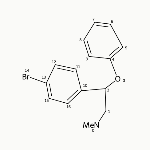 CNCC(Oc1ccccc1)c1ccc(Br)cc1